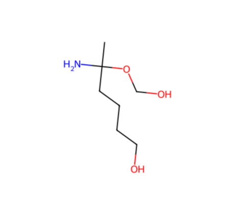 CC(N)(CCCCO)OCO